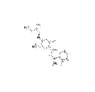 CCN(C)C=Nc1cc(Cl)c(C(=O)CN(C)c2ccccc2F)cc1C